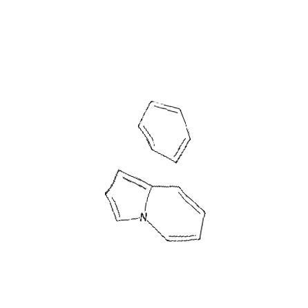 c1ccccc1.c1ccn2cccc2c1